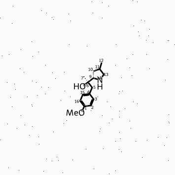 COc1ccc(C[C@@](C)(O)[C@@H]2CC(C)CN2)cc1